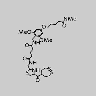 CNC(=O)CCCCOc1cc(OC)c(CNC(=O)CCCC(=O)NCC2NC(C(=O)C3CCSSCC3)CS2)c(OC)c1